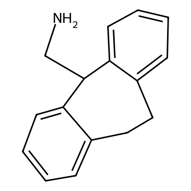 NCC1c2ccccc2CCc2ccccc21